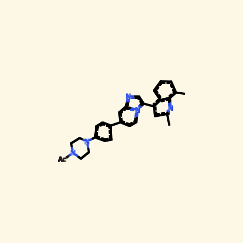 CC(=O)N1CCN(c2ccc(-c3ccn4c(-c5cc(C)nc6c(C)cccc56)cnc4c3)cc2)CC1